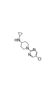 Clc1cnc(N2CCC(NC3CC3)CC2)nc1